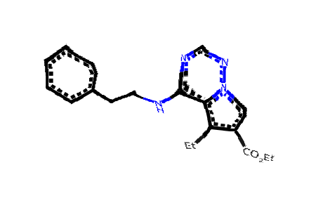 CCOC(=O)c1cn2ncnc(NCCc3ccccc3)c2c1CC